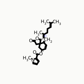 C=C1C=C[C@@H](OC(=O)c2cccn2C)CC12CC(=O)O[C@@H]2/C=C(\C)CCC=C(C)C